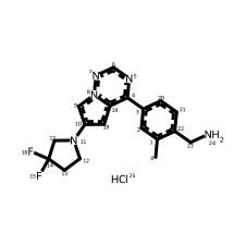 Cc1cc(-c2ncnn3cc(N4CCC(F)(F)C4)cc23)ccc1CN.Cl